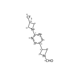 O=CN1CC(c2cnc(N3CC(C(F)(F)F)C3)nc2)C1